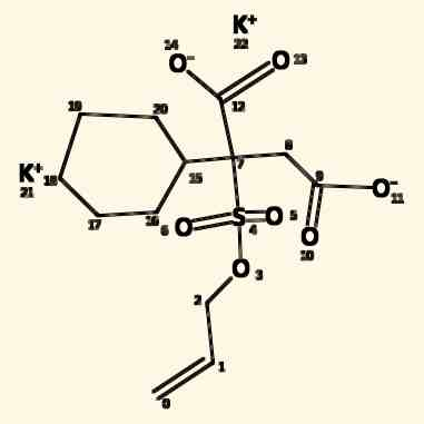 C=CCOS(=O)(=O)C(CC(=O)[O-])(C(=O)[O-])C1CCCCC1.[K+].[K+]